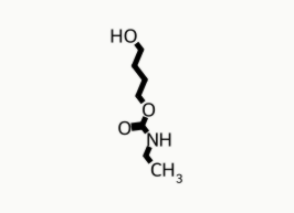 CCNC(=O)OCCCCO